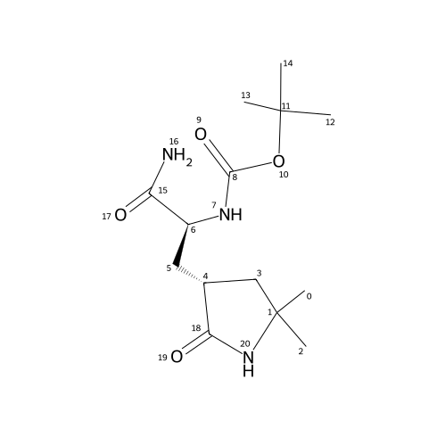 CC1(C)C[C@@H](C[C@H](NC(=O)OC(C)(C)C)C(N)=O)C(=O)N1